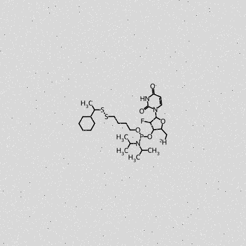 [2H]CC1OC(n2ccc(=O)[nH]c2=O)C(F)C1OP(OCCCCSSC(C)C1CCCCC1)N(C(C)C)C(C)C